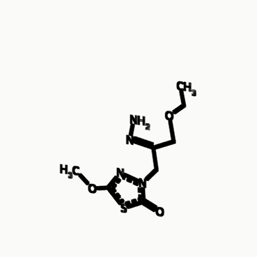 CCOCC(Cn1nc(OC)sc1=O)=NN